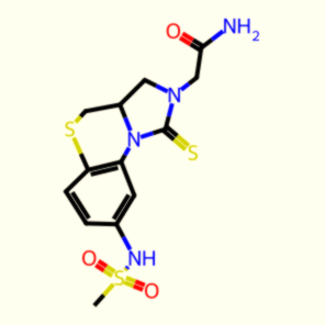 CS(=O)(=O)Nc1ccc2c(c1)N1C(=S)N(CC(N)=O)CC1CS2